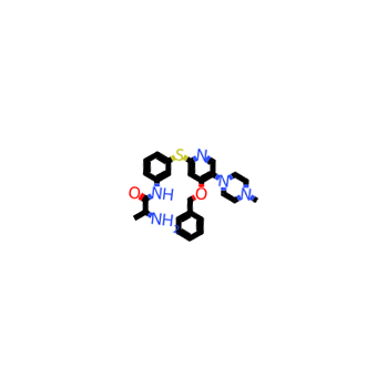 CC(N)C(=O)Nc1cccc(Sc2cc(OCc3ccccc3)c(N3CCN(C)CC3)cn2)c1